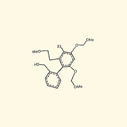 CCc1c(OCOC)cc(OCOC)c(-c2ccccc2CO)c1CCOC